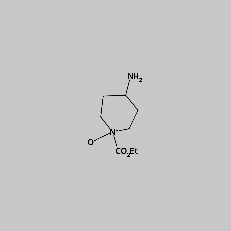 CCOC(=O)[N+]1([O-])CCC(N)CC1